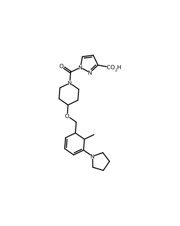 CC1C(N2CCCC2)=CC=CC1COC1CCN(C(=O)n2ccc(C(=O)O)n2)CC1